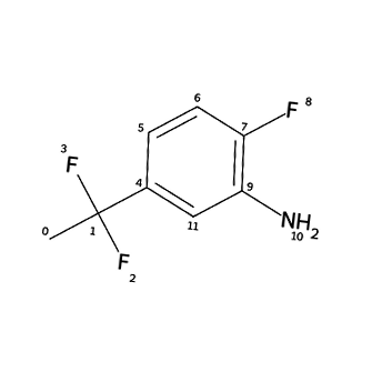 CC(F)(F)c1ccc(F)c(N)c1